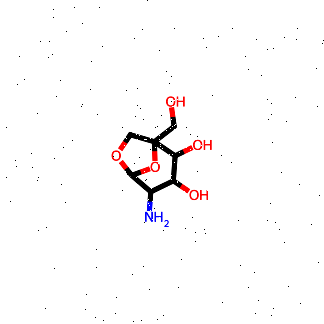 NC1C2OCC(CO)(O2)C(O)C1O